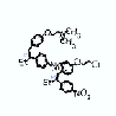 CC/C(=C/c1ccc(OCCCl)cc1)c1ccc([N+](=O)[O-])cc1.CC/C(=C/c1ccc(OCCN(C)C)cc1)c1ccc([N+](=O)[O-])cc1